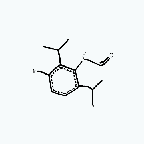 CC(C)c1ccc(F)c(C(C)C)c1NC=O